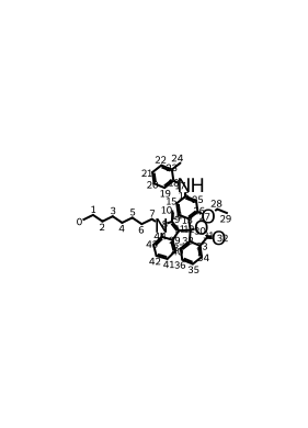 CCCCCCCCn1c(C)c(C2(c3ccc(Nc4ccccc4C)cc3OCC)OC(=O)c3ccccc32)c2ccccc21